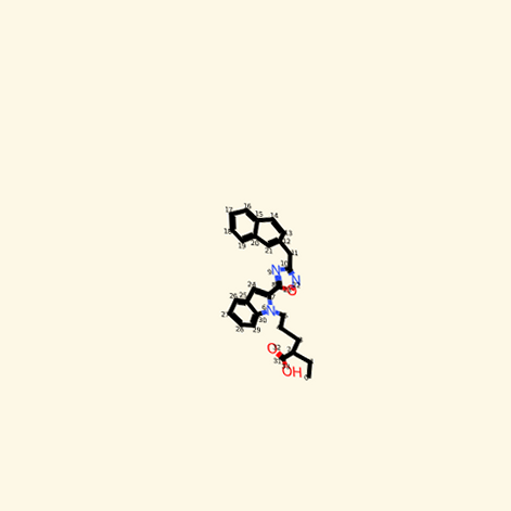 CCC(CCCn1c(-c2nc(Cc3ccc4ccccc4c3)no2)cc2ccccc21)C(=O)O